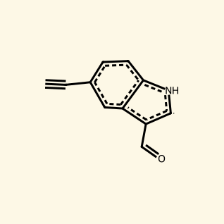 C#Cc1ccc2[nH][c]c(C=O)c2c1